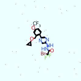 O=C(NNc1cnc(-c2ccc(OC(F)(F)F)cc2COC2CC2)cn1)C(F)(F)Br